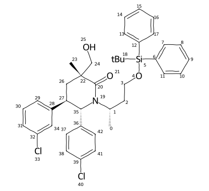 C[C@@H](CCO[Si](c1ccccc1)(c1ccccc1)C(C)(C)C)N1C(=O)[C@@](C)(CO)C[C@H](c2cccc(Cl)c2)[C@H]1c1ccc(Cl)cc1